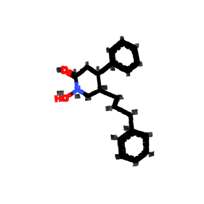 O=C1CC(c2ccccc2)C(CCCc2ccccc2)CN1O